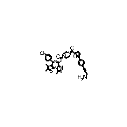 Cc1sc2c(c1C)C(c1ccc(Cl)cc1)=N[C@@H](CC(=O)N1CCN(C(=O)c3ccc(-c4ccc(C#CCN)cc4)o3)CC1)c1nnc(C)n1-2